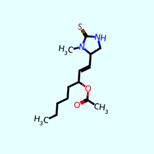 CCCCCC(/C=C/C1CNC(=S)N1C)OC(C)=O